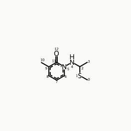 CSC(C)Nn1cccc(C)c1=O